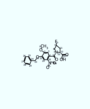 COc1cc(C(=O)N2CC(F)C[C@H]2C(=O)O)c([N+](=O)[O-])cc1OCc1ccccc1